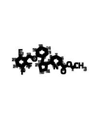 CCOC(=O)c1cccc(C2=C(c3ccccc3OCc3c(F)ccc(F)c3F)CCC2)n1